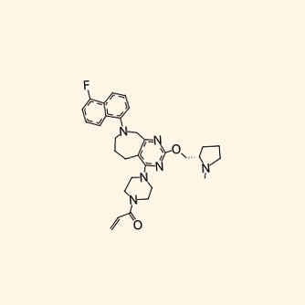 C=CC(=O)N1CCN(c2nc(OC[C@@H]3CCCN3C)nc3c2CCCN(c2cccc4c(F)cccc24)C3)CC1